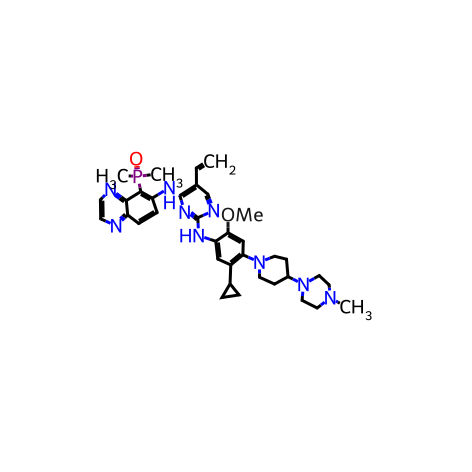 C=Cc1cnc(Nc2cc(C3CC3)c(N3CCC(N4CCN(C)CC4)CC3)cc2OC)nc1Nc1ccc2nccnc2c1P(C)(C)=O